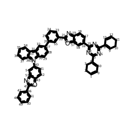 C1=CCCC(c2nc(C3=CCCC=C3)nc(-c3ccc4nc(-c5cccc(-c6ccc7c(c6)c6ccccc6n7-c6ccc7oc(-c8ccccc8)nc7c6)c5)oc4c3)n2)=C1